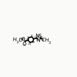 COC(=O)C1CCC(c2nsc(C)n2)CC1